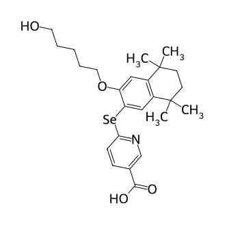 CC1(C)CCC(C)(C)c2cc([Se]c3ccc(C(=O)O)cn3)c(OCCCCCO)cc21